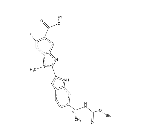 CC(C)OC(=O)c1cc2nc(-c3cc4ccc([C@@H](C)NC(=O)OC(C)(C)C)cc4[nH]3)n(C)c2cc1F